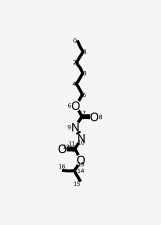 CCCCCCOC(=O)N=NC(=O)OC(C)C